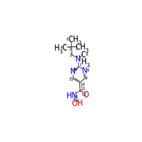 CN(CC(C)(C)C)c1ncc(C(=O)NO)cn1